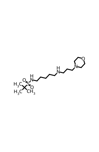 CC(C)(C)S(=O)(=O)NCCCCCNCCCN1CCOCC1